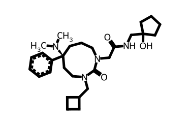 CN(C)[C@@]1(c2ccccc2)CCCN(CC(=O)NCC2(O)CCCC2)C(=O)N(CC2CCC2)CC1